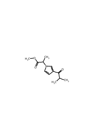 COC(=O)C(C)n1ccc(C(=O)C(C)C)c1